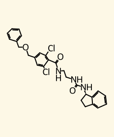 O=C(NCCNC(=O)c1c(Cl)cc(COCc2ccccc2)cc1Cl)N[C@@H]1CCc2ccccc21